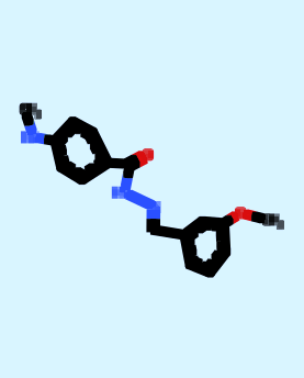 CNc1ccc(C(=O)N/N=C/c2cccc(OC)c2)cc1